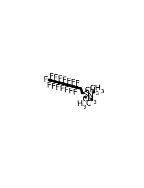 CCN(CC)[Si](C)(C)CCC(F)(F)C(F)(F)C(F)(F)C(F)(F)C(F)(F)C(F)(F)C(F)(F)F